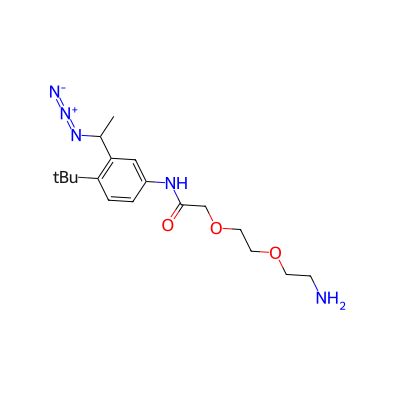 CC(N=[N+]=[N-])c1cc(NC(=O)COCCOCCN)ccc1C(C)(C)C